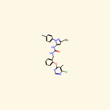 Cc1ccc(-n2nc(C(C)(C)C)cc2NC(=O)NCc2ccccc2Oc2ncnc(Cl)c2C)cc1